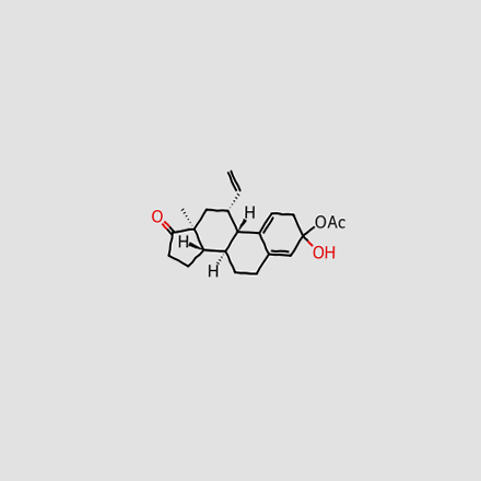 C=C[C@H]1C[C@]2(C)C(=O)CC[C@H]2[C@@H]2CCC3=CC(O)(OC(C)=O)CC=C3[C@H]21